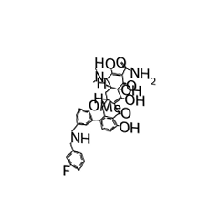 COc1ccc(CNCc2cccc(F)c2)cc1-c1ccc(O)c2c1C[C@@H]1C[C@@H]3[C@@H](N(C)C)C(O)=C(C(N)=O)C(=O)[C@]3(O)C(O)=C1C2=O